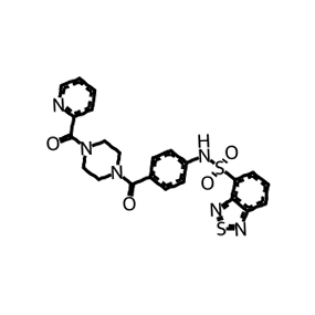 O=C(c1ccc(NS(=O)(=O)c2cccc3nsnc23)cc1)N1CCN(C(=O)c2ccccn2)CC1